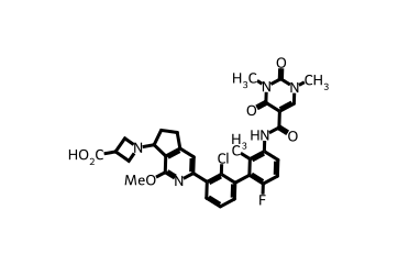 COc1nc(-c2cccc(-c3c(F)ccc(NC(=O)c4cn(C)c(=O)n(C)c4=O)c3C)c2Cl)cc2c1C(N1CC(C(=O)O)C1)CC2